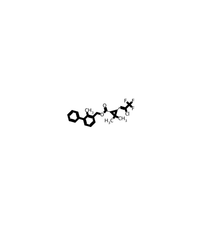 Cc1c(COC(=O)[C@@H]2[C@H](C=C(Cl)C(F)(F)F)C2(C)C)cccc1-c1ccccc1